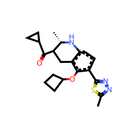 Cc1nnc(-c2ccc3c(c2OC2CCC2)CC(C(=O)C2CC2)[C@H](C)N3)s1